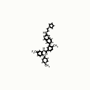 Cc1ccc(C(=O)Nc2cc(C(F)(F)F)ccc2OC2CCN(C)CC2)cc1-c1ccc2nc(NCCN3CCCC3)ncc2c1